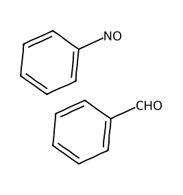 O=Cc1ccccc1.O=Nc1ccccc1